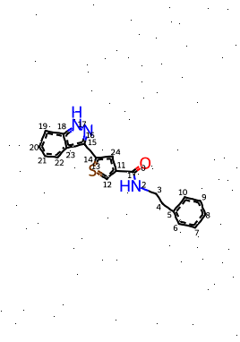 O=C(NCCc1ccccc1)c1csc(-c2n[nH]c3ccccc23)c1